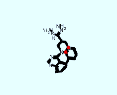 N/N=C(\NN)C1CCCN(c2ncnc3cccc(-c4cccnc4)c23)C1